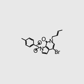 C/C=C/Cn1cc(Br)c2ccn(S(=O)(=O)c3ccc(C)cc3)c2c1=O